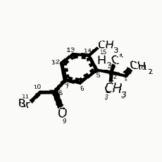 C=CC(C)(C)c1cc(C(=O)CBr)ccc1C